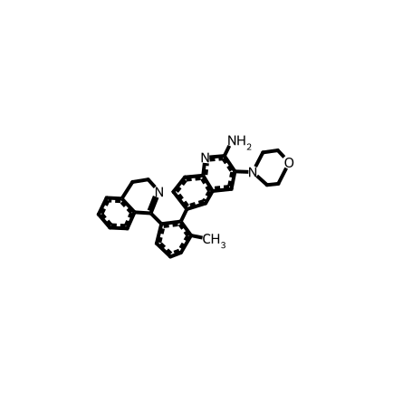 Cc1cccc(C2=NCCc3ccccc32)c1-c1ccc2nc(N)c(N3CCOCC3)cc2c1